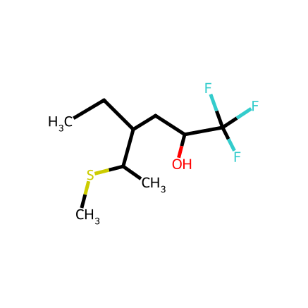 CCC(CC(O)C(F)(F)F)C(C)SC